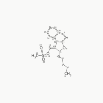 CCCCSC1Oc2ccc3ccccc3c2/C1=N/OS(C)(=O)=O